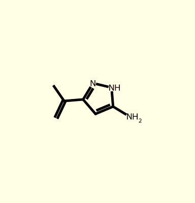 C=C(C)c1cc(N)[nH]n1